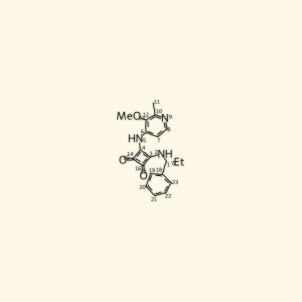 CC[C@@H](Nc1c(Nc2ccnc(C)c2OC)c(=O)c1=O)c1ccccc1